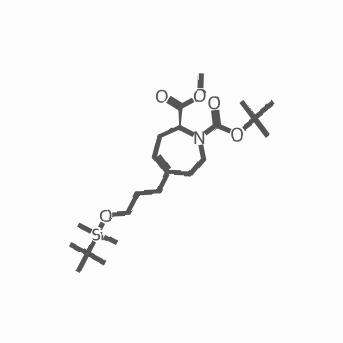 COC(=O)[C@@H]1CC=C(CCCO[Si](C)(C)C(C)(C)C)CCN1C(=O)OC(C)(C)C